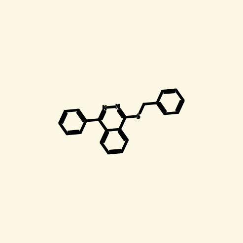 c1ccc(CSc2nnc(-c3ccccc3)c3ccccc23)cc1